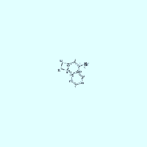 Brc1cc2c(c3ccccc13)CC2